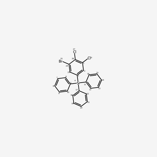 Clc1cc([Si](c2ccccc2)(c2ccccc2)c2ccccc2)cc(Br)c1Cl